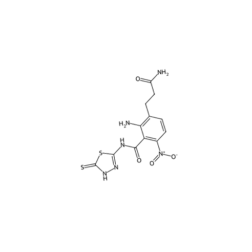 NC(=O)CCc1ccc([N+](=O)[O-])c(C(=O)Nc2n[nH]c(=S)s2)c1N